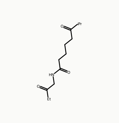 CCC(=O)CNC(=O)CCCCC(=O)C(C)C